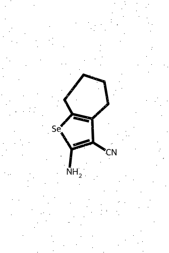 N#Cc1c(N)[se]c2c1CCCC2